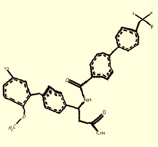 COc1ccc(Cl)cc1-c1ccc(C(CC(=O)O)NC(=O)c2ccc(-c3ccc(C(F)(F)F)cc3)cc2)cc1